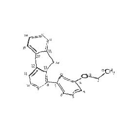 CCOc1cccc(-c2cccc3c2Cc2ccccc2-3)c1